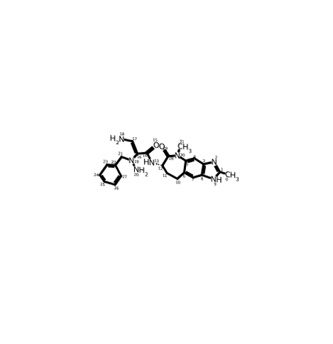 Cc1nc2cc3c(cc2[nH]1)CC[C@H](NC(=O)/C(=C/N)N(N)Cc1ccccc1)C(=O)N3C